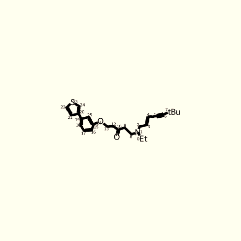 CCN(CC=CC#CC(C)(C)C)CCC(=O)CCOc1cccc(-c2ccsc2)c1